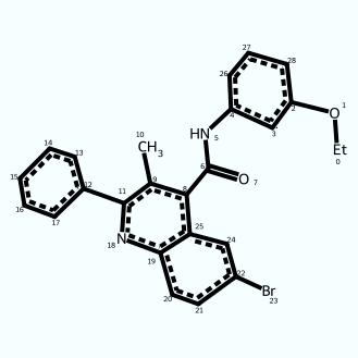 CCOc1[c]c(NC(=O)c2c(C)c(-c3ccccc3)nc3ccc(Br)cc23)ccc1